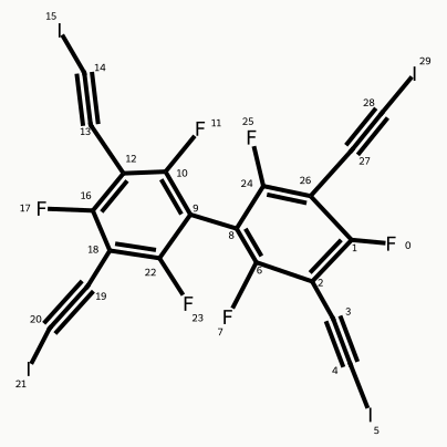 Fc1c(C#CI)c(F)c(-c2c(F)c(C#CI)c(F)c(C#CI)c2F)c(F)c1C#CI